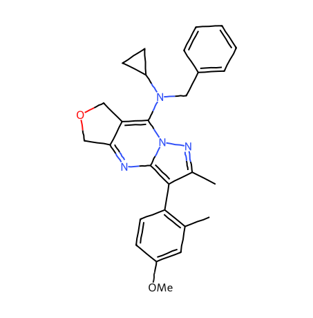 COc1ccc(-c2c(C)nn3c(N(Cc4ccccc4)C4CC4)c4c(nc23)COC4)c(C)c1